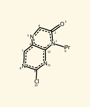 CC(C)n1c(=O)cnc2cnc(Cl)nc21